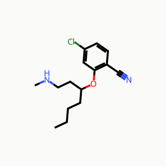 CCCCC(CCNC)Oc1cc(Cl)ccc1C#N